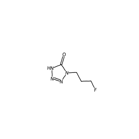 O=c1[nH]nnn1CCCF